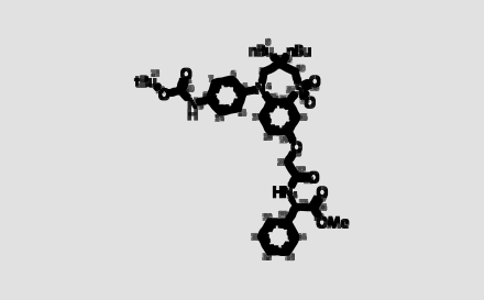 CCCCC1(CCCC)CN(c2ccc(NC(=O)OC(C)(C)C)cc2)c2ccc(OCC(=O)N[C@@H](C(=O)OC)c3ccccc3)cc2S(=O)(=O)C1